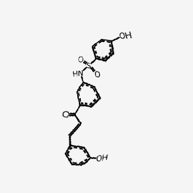 O=C(C=Cc1cccc(O)c1)c1cccc(NS(=O)(=O)c2ccc(O)cc2)c1